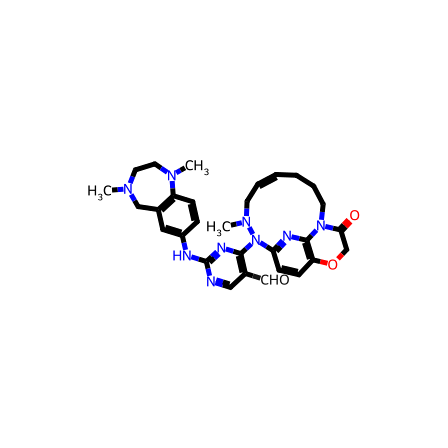 CN1CCN(C)c2ccc(Nc3ncc(C=O)c(N4c5ccc6c(n5)N(CCC/C=C\CN4C)C(=O)CO6)n3)cc2C1